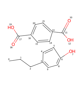 CCCc1ccc(O)cc1.O=C(O)c1ccc(C(=O)O)cc1